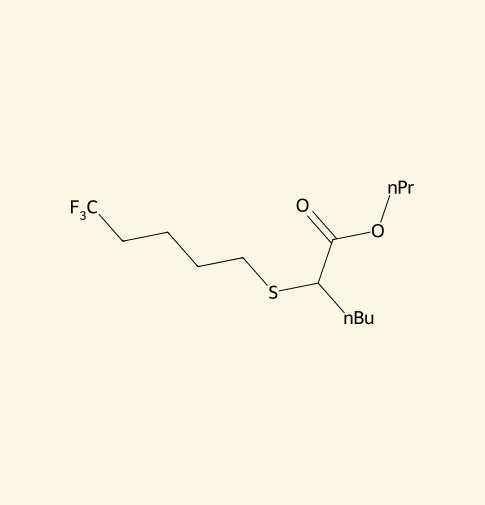 CCCCC(SCCCCC(F)(F)F)C(=O)OCCC